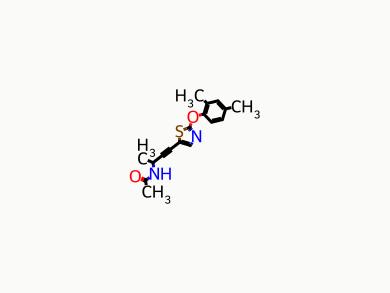 CC(=O)NC(C)C#Cc1cnc(Oc2ccc(C)cc2C)s1